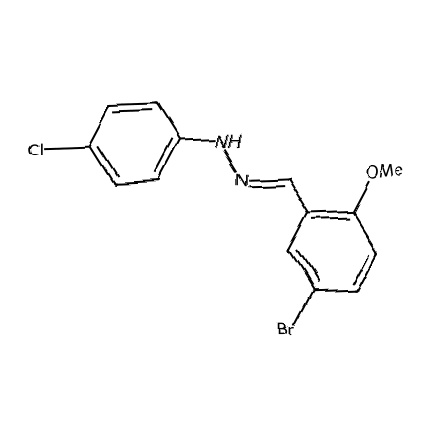 COc1ccc(Br)cc1/C=N/Nc1ccc(Cl)cc1